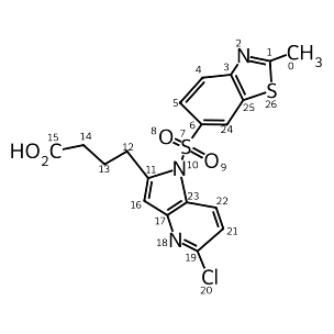 Cc1nc2ccc(S(=O)(=O)n3c(CCCC(=O)O)cc4nc(Cl)ccc43)cc2s1